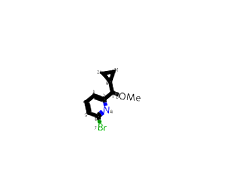 COC(c1cccc(Br)n1)C1CC1